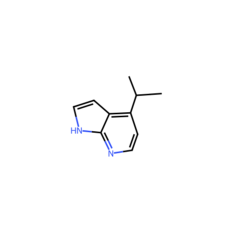 CC(C)c1ccnc2[nH]ccc12